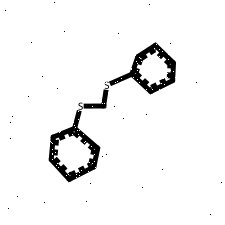 [C](Sc1ccccc1)Sc1ccccc1